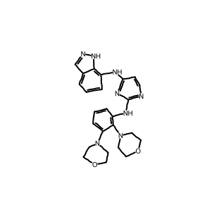 c1cc(Nc2nccc(Nc3cccc4cn[nH]c34)n2)c(N2CCOCC2)c(N2CCOCC2)c1